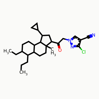 CCCC1C(CC)CCC2C1CCC1(C)C(C(=O)Cn3cc(C#N)c(Cl)n3)CC(C3CC3)C21